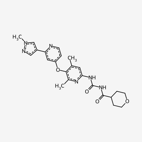 Cc1cc(NC(=O)NC(=O)C2CCOCC2)nc(C)c1Oc1ccnc(-c2cnn(C)c2)c1